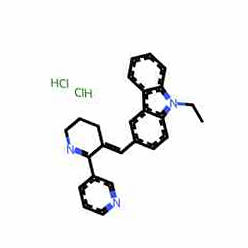 CCn1c2ccccc2c2cc(C=C3CCCN=C3c3cccnc3)ccc21.Cl.Cl